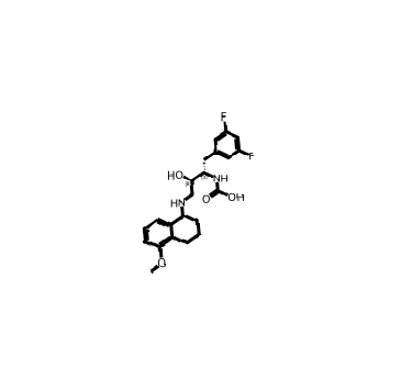 COc1cccc2c1CCCC2NC[C@@H](O)[C@H](Cc1cc(F)cc(F)c1)NC(=O)O